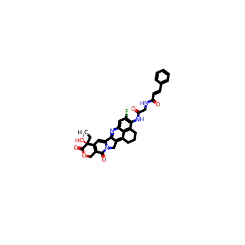 CC[C@@]1(O)C(=O)OCc2c1cc1n(c2=O)Cc2c-1nc1cc(F)c(NC(=O)CNC(=O)C=Cc3ccccc3)c3c1c2CCC3